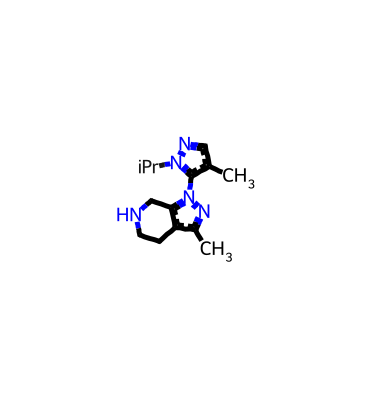 Cc1cnn(C(C)C)c1-n1nc(C)c2c1CNCC2